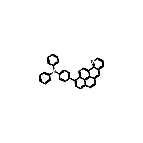 c1ccc(N(c2ccccc2)c2ccc(-c3ccc4ccc5cc6cccnc6c6ccc3c4c56)cc2)cc1